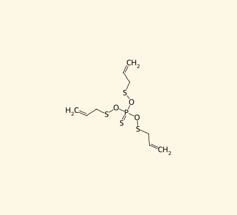 C=CCSOP(=S)(OSCC=C)OSCC=C